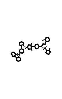 Cc1ccccc1-c1cc(-c2ccc(-c3c(C)cc(-n4c5ccccc5c5cc(-n6c7ccccc7c7ccccc76)ccc54)cc3C)cc2)nc(-c2ccccc2C)n1